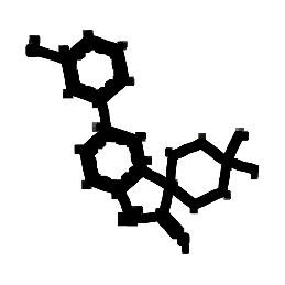 [CH]C1(C)CCC2(CC1)C(=O)Nc1ccc(-c3cccc(Cl)c3)cc12